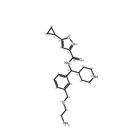 NCCOCc1cccc(C(NC(=O)c2cc(C3CC3)on2)C2CCNCC2)c1